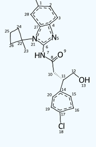 Cc1ccc2nc(NC(=O)C[C@H](CO)c3ccc(Cl)cc3)n(C3(C)CCC3)c2c1